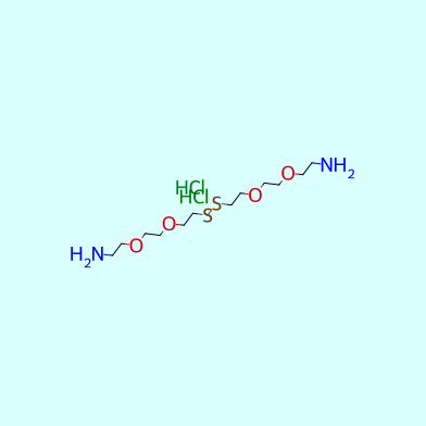 Cl.Cl.NCCOCCOCCSSCCOCCOCCN